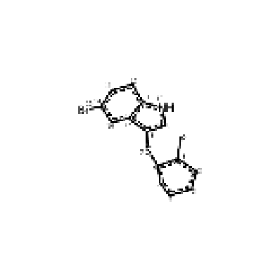 Cc1ccccc1Sc1c[nH]c2ccc(Br)cc12